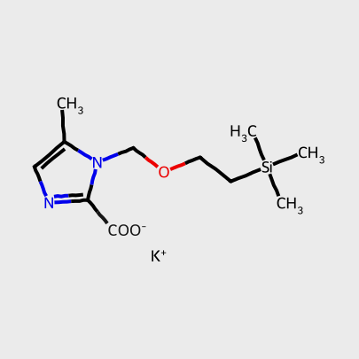 Cc1cnc(C(=O)[O-])n1COCC[Si](C)(C)C.[K+]